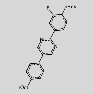 CCCCCCCCc1ccc(-c2cnc(-c3ccc(CCCCCC)c(F)c3)nc2)cc1